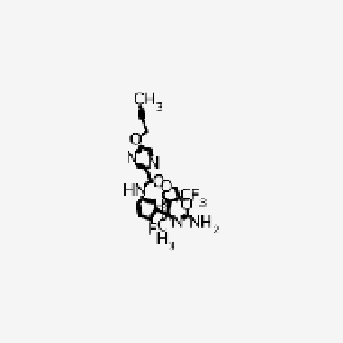 CC#CCOc1cnc(C(=O)Nc2ccc(F)c([C@@]3(C)N=C(N)O[C@]4(C(F)(F)F)COC[C@H]34)c2)cn1